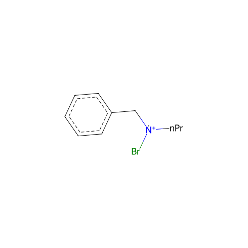 CCC[N+](Br)Cc1ccccc1